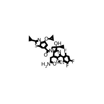 CCOc1c(CC(N)=O)cc([C@@](O)(CNC(=O)c2cc(OC3CC3)c3nc(C4CC4)sc3c2)C2CC2)nc1-c1cc(F)c(F)cc1F